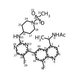 CC(=O)NC(C)c1ccnc2c(F)cc(-c3nc(NC4CCN(S(C)(=O)=O)CC4)ncc3F)cc12